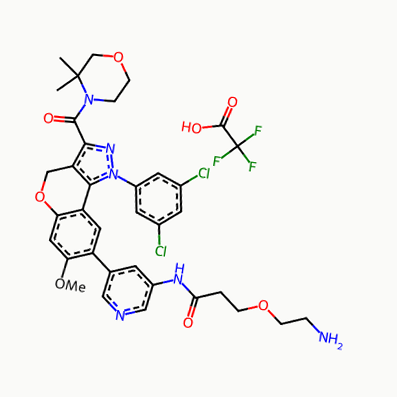 COc1cc2c(cc1-c1cncc(NC(=O)CCOCCN)c1)-c1c(c(C(=O)N3CCOCC3(C)C)nn1-c1cc(Cl)cc(Cl)c1)CO2.O=C(O)C(F)(F)F